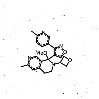 COC1(c2conc2-c2ccc(C)nc2)c2cnc(C)cc2CCN1C1COC1